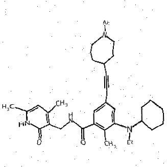 CCN(c1cc(C#CC2CCN(C(C)=O)CC2)cc(C(=O)NCc2c(C)cc(C)[nH]c2=O)c1C)C1CCCCC1